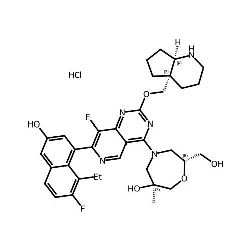 CCc1c(F)ccc2cc(O)cc(-c3ncc4c(N5C[C@H](CO)OC[C@@](C)(O)C5)nc(OC[C@@]56CCCN[C@@H]5CCC6)nc4c3F)c12.Cl